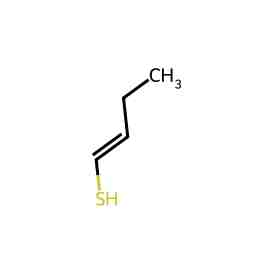 CC/C=C/S